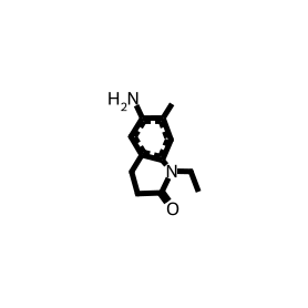 CCN1C(=O)CCc2cc(N)c(C)cc21